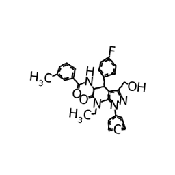 CCN1C(=O)[C@@H](NC(=O)c2cccc(C)c2)C(c2ccc(F)cc2)c2c(CO)nn(-c3ccccc3)c21